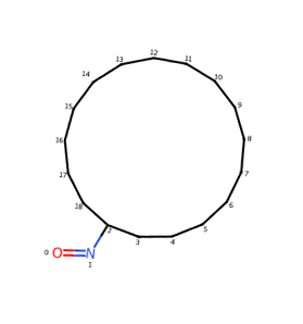 O=NC1CCCCCCCCCCCCCCCC1